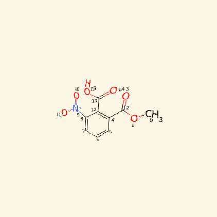 COC(=O)c1cccc([N+](=O)[O-])c1C(=O)O